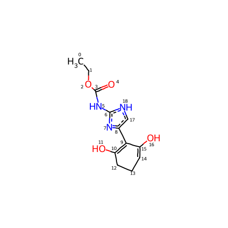 CCOC(=O)Nc1nc(C2=C(O)CCC=C2O)c[nH]1